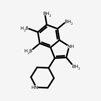 Bc1[nH]c2c(B)c(B)c(B)c(B)c2c1C1CCNCC1